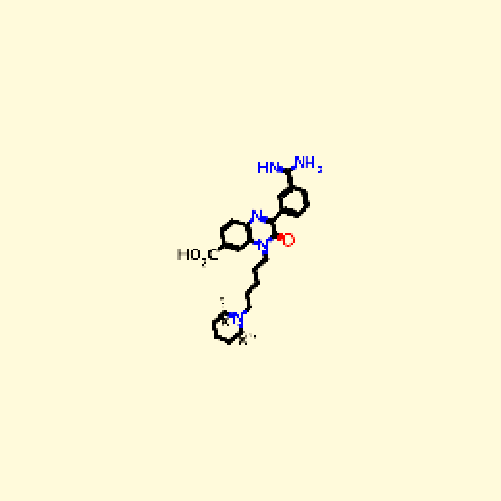 C[C@@H]1CCC[C@H](C)N1CCCCCn1c(=O)c(-c2cccc(C(=N)N)c2)nc2ccc(C(=O)O)cc21